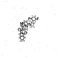 C[C@]1(c2cc(F)ccc2F)CCCN1c1ccn2ncc(NC(=O)N3Cc4ccccc4C3=O)c2n1